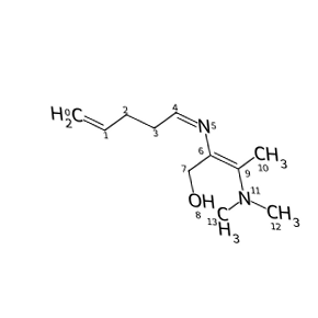 C=CCC/C=N\C(CO)=C(/C)N(C)C